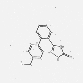 O=c1[nH]c(-c2ccccc2-c2ccc(CBr)cc2)no1